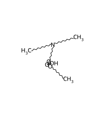 CCCCCCCCCCCN(CCCCCCCCCCC)CCCCCCCOP(=O)(O)OCCCCCCCCC